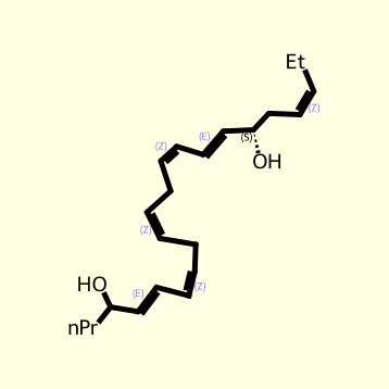 CC/C=C\C[C@H](O)/C=C/C=C\C/C=C\C/C=C\C=C\C(O)CCC